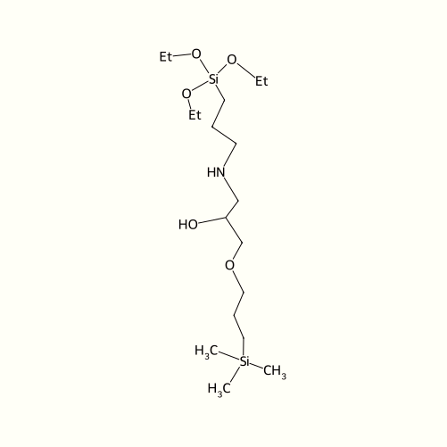 CCO[Si](CCCNCC(O)COCCC[Si](C)(C)C)(OCC)OCC